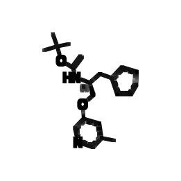 C=C(N[C@H](COc1cncc(C)c1)Cc1ccccc1)OC(C)(C)C